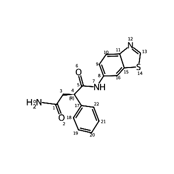 NC(=O)C[C@@H](C(=O)Nc1ccc2ncsc2c1)c1ccccc1